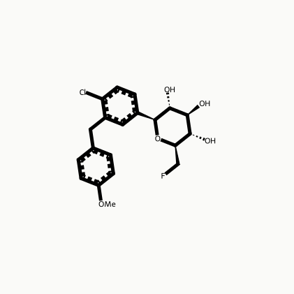 COc1ccc(Cc2cc([C@@H]3O[C@H](CF)[C@@H](O)[C@H](O)[C@H]3O)ccc2Cl)cc1